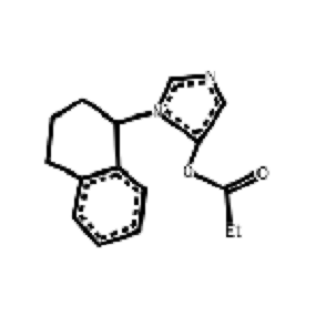 CCC(=O)Oc1cncn1C1CCCc2ccccc21